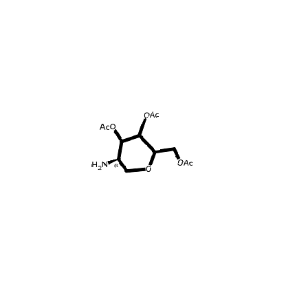 CC(=O)OCC1OC[C@@H](N)C(OC(C)=O)C1OC(C)=O